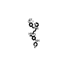 CC(NC(=O)CCc1nc2cccnc2n1Cc1ccc(OC(F)(F)F)cc1)c1ccc(NC2CCN(C)CC2)cc1